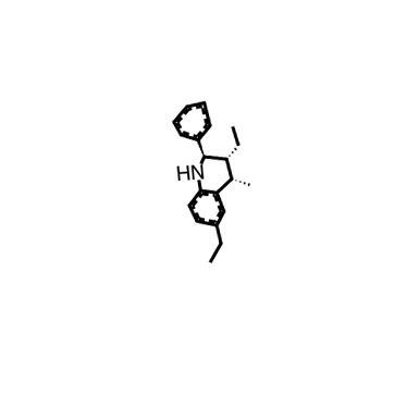 CCc1ccc2c(c1)[C@@H](C)[C@@H](CC)[C@H](c1ccccc1)N2